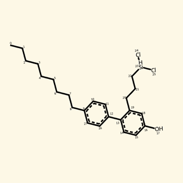 CCCCCCCCCc1ccc(-c2ccc(O)cc2CCC[SiH](Cl)Cl)cc1